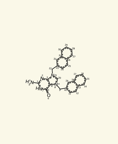 Nc1nc2c(c(=O)[nH]1)[n+](Cc1ccc3ccccc3c1)cn2Cc1ccc2ccccc2c1